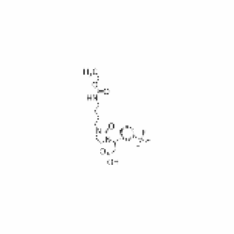 CCOC(=O)NCCCCN1CCN(C(CC(=O)O)c2cccc(C(F)(F)F)c2)C1=O